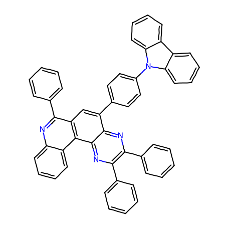 c1ccc(-c2nc3c(-c4ccc(-n5c6ccccc6c6ccccc65)cc4)cc4c(-c5ccccc5)nc5ccccc5c4c3nc2-c2ccccc2)cc1